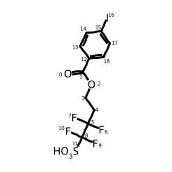 O=C(OCCC(F)(F)C(F)(F)S(=O)(=O)O)c1ccc(I)cc1